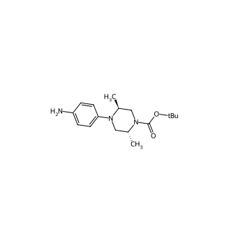 C[C@@H]1CN(c2ccc(N)cc2)[C@@H](C)CN1C(=O)OC(C)(C)C